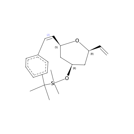 C=C[C@H]1C[C@@H](O[Si](C)(C)C(C)(C)C)C[C@@H](/C=C\c2ccccc2)O1